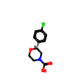 O=C(O)N1CCO[C@H](c2ccc(Cl)cc2)C1